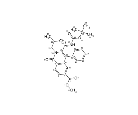 COC(=O)c1ccc2c(=O)n(CC(C)C)c(CNC(=O)OC(C)(C)C)c(-c3ccccc3)c2c1